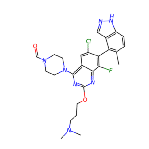 Cc1ccc2[nH]ncc2c1-c1c(Cl)cc2c(N3CCN(C=O)CC3)nc(OCCCN(C)C)nc2c1F